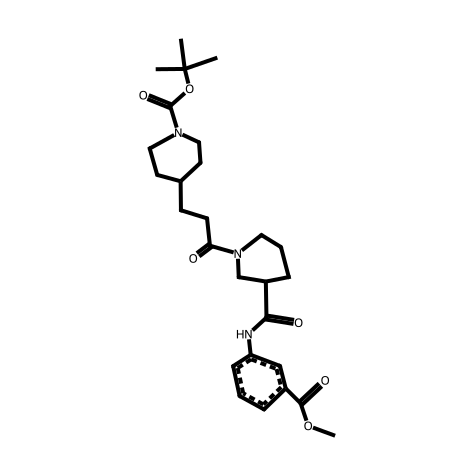 COC(=O)c1cccc(NC(=O)C2CCCN(C(=O)CCC3CCN(C(=O)OC(C)(C)C)CC3)C2)c1